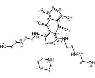 C1CNCCN1.O=C1c2c(O)ccc(O)c2C(=O)c2c(NCCNCCO)ccc(NCCNCCO)c21